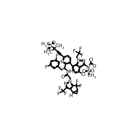 CC(C)(C#Cc1ccc(-c2ccc(Cl)c3c(N(C(=O)Cl)S(C)(=O)=O)nn(CC(F)(F)F)c23)c([C@H](Cc2cc(F)cc(F)c2)NC(=O)Cn2nc(C(F)(F)F)c3c2C(F)(F)C2C[C@H]32)n1)S(C)(=O)=O